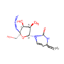 C=C1C=CN([C@@H]2O[C@@](CO)(N=[N+]=[N-])[C@@H](O)[C@H]2O)C(=O)N1